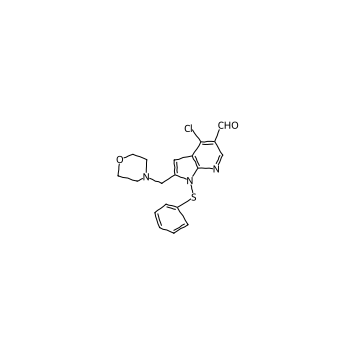 O=Cc1cnc2c(cc(CN3CCOCC3)n2Sc2ccccc2)c1Cl